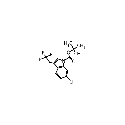 CC(C)(C)OC(=O)n1cc(CC(F)(F)F)c2ccc(Cl)cc21